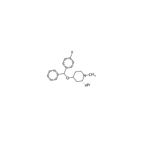 CCC[C@@H]1CC(OC(c2ccccc2)c2ccc(F)cc2)CCN1C